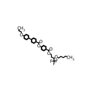 C=CCOc1ccc(-c2ccc(C(=O)Oc3ccc(C(=O)OCCC(OCCCCC)C(F)(F)F)cc3)cc2)cc1